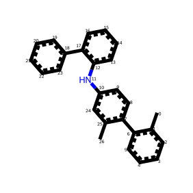 Cc1ccccc1-c1ccc(Nc2ccccc2-c2ccccc2)cc1C